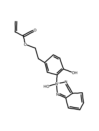 C=CC(=O)OCCc1ccc(O)c([N+]2(O)N=c3ccccc3=N2)c1